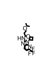 CC(C)OCCC(=O)Nc1nc2ccc(C(F)(F)F)nc2n1C1CCC1